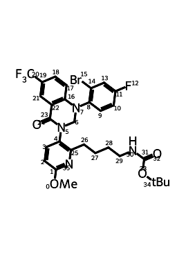 COc1ccc(N2CN(c3ccc(F)cc3Br)c3ccc(C(F)(F)F)cc3C2=O)c(CCCCNC(=O)OC(C)(C)C)n1